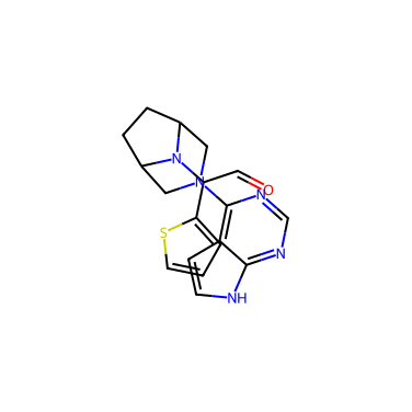 O=CC(c1cccs1)N1C2CCC1CN(c1ncnc3[nH]ccc13)C2